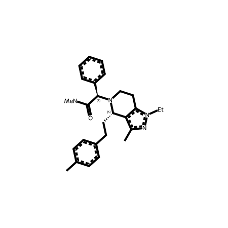 CCn1nc(C)c2c1CCN([C@@H](C(=O)NC)c1ccccc1)[C@H]2CCc1ccc(C)cc1